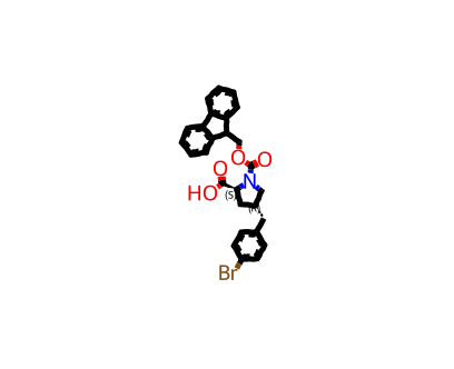 O=C(O)[C@@H]1C[C@@H](Cc2ccc(Br)cc2)CN1C(=O)OCC1c2ccccc2-c2ccccc21